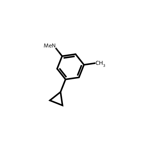 CNc1cc(C)cc(C2CC2)c1